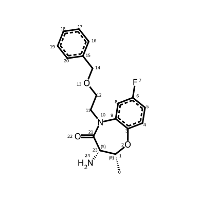 C[C@H]1Oc2ccc(F)cc2N(CCOCc2ccccc2)C(=O)[C@H]1N